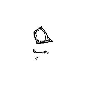 CCN.I.c1cc2cc-2c1